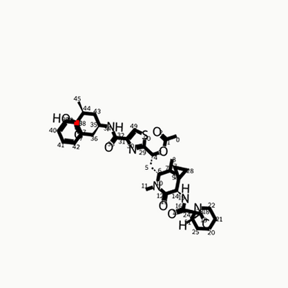 CC(=O)O[C@H](C[C@H](C(C)C)N(C)C(=O)[C@@H](NC(=O)[C@H]1CC2CCN1CC2)C1CC1)c1nc(C(=O)N[C@@H](Cc2ccccc2)C[C@H](C)C(=O)O)cs1